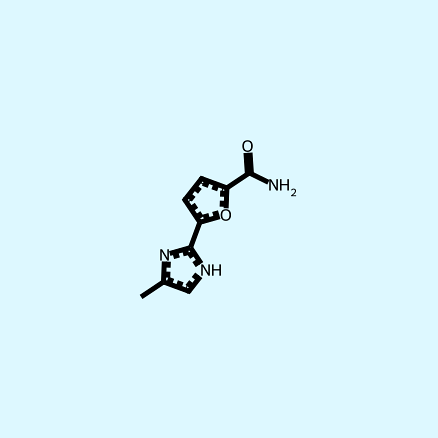 Cc1c[nH]c(-c2ccc(C(N)=O)o2)n1